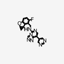 Fc1ccc2c(c1CNc1ncc(-c3cncnc3)c3nncn13)[C@H]1C=C1O2